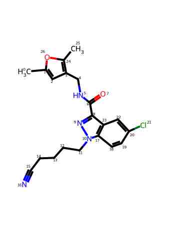 Cc1cc(CNC(=O)c2nn(CCCCC#N)c3ccc(Cl)cc23)c(C)o1